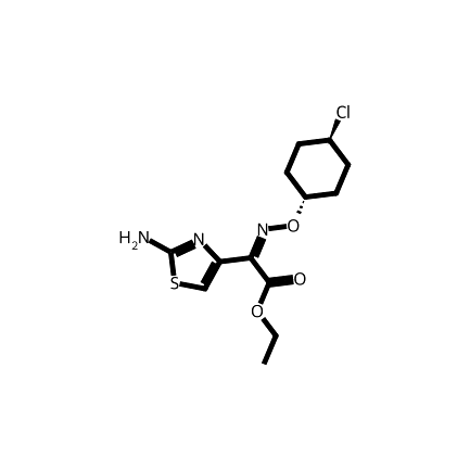 CCOC(=O)C(=NO[C@H]1CC[C@H](Cl)CC1)c1csc(N)n1